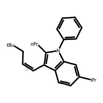 CCCc1c(/C=C\CC(C)(C)C)c2ccc(C(C)C)cc2n1-c1ccccc1